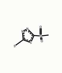 CS(=O)(=O)c1nnc([S])s1